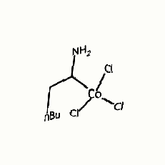 CCCCC[CH](N)[Co]([Cl])([Cl])[Cl]